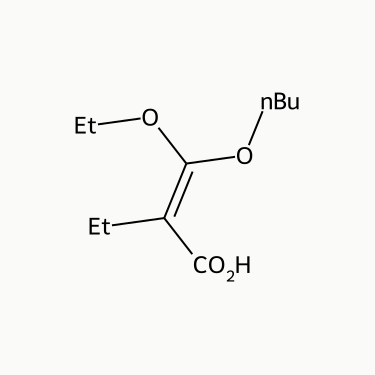 CCCCOC(OCC)=C(CC)C(=O)O